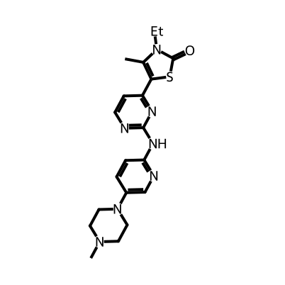 CCn1c(C)c(-c2ccnc(Nc3ccc(N4CCN(C)CC4)cn3)n2)sc1=O